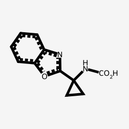 O=C(O)NC1(c2nc3ccccc3o2)CC1